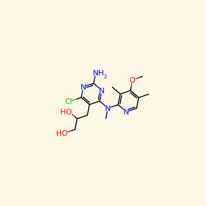 COc1c(C)cnc(N(C)c2nc(N)nc(Cl)c2CC(O)CO)c1C